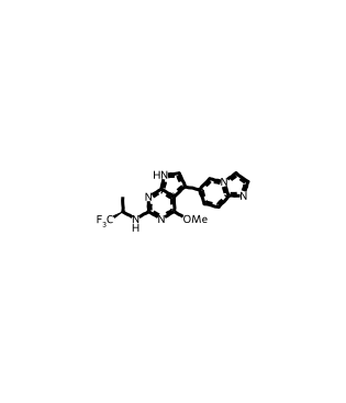 COc1nc(N[C@H](C)C(F)(F)F)nc2[nH]cc(-c3ccc4nccn4c3)c12